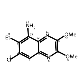 CCc1c(Cl)cc2nc(OC)c(OC)nc2c1N